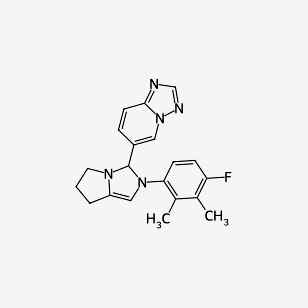 Cc1c(F)ccc(N2C=C3CCCN3C2c2ccc3ncnn3c2)c1C